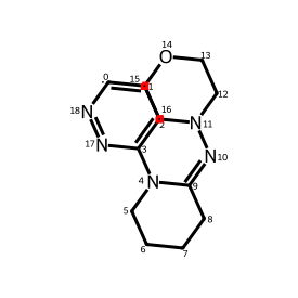 [c]1ccc(N2CCCC/C2=N/N2CCOCC2)nn1